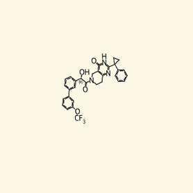 O=C([C@H](O)c1cccc(-c2cccc(OC(F)(F)F)c2)c1)N1CCc2nc(C3(c4ccccc4)CC3)[nH]c(=O)c2C1